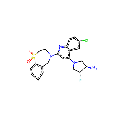 N[C@@H]1CN(c2cc(N3CCS(=O)(=O)c4ccccc4C3)nc3ccc(Cl)cc23)C[C@H]1F